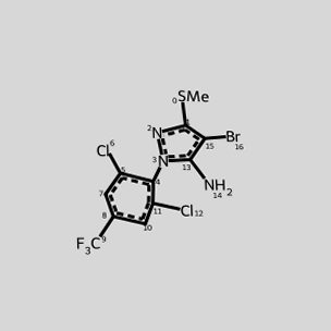 CSc1nn(-c2c(Cl)cc(C(F)(F)F)cc2Cl)c(N)c1Br